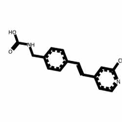 O=C(O)NCc1ccc(C=Cc2ccnc(Cl)c2)cc1